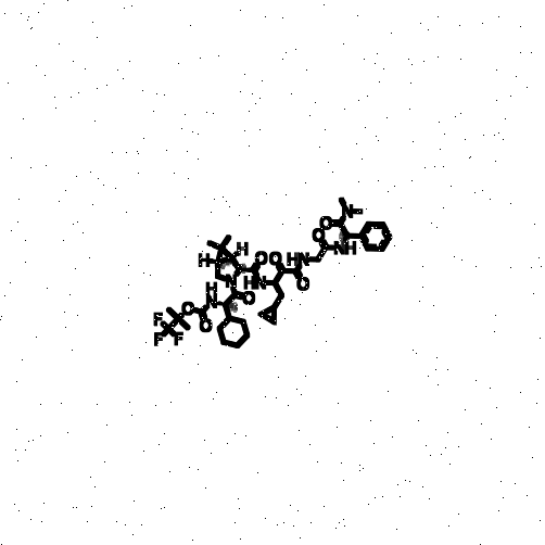 CN(C)C(=O)[C@@H](NC(=O)CNC(=O)C(=O)C(CC1CC1)NC(=O)[C@@H]1[C@@H]2[C@H](CN1C(=O)[C@@H](NC(=O)OC(C)(C)C(F)(F)F)C1CCCCC1)C2(C)C)c1ccccc1